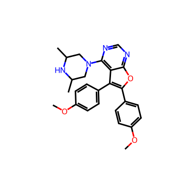 COc1ccc(-c2oc3ncnc(N4CC(C)NC(C)C4)c3c2-c2ccc(OC)cc2)cc1